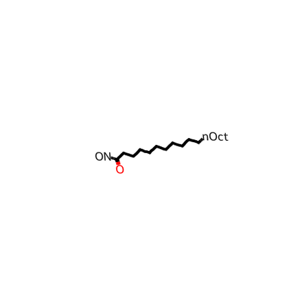 CCCCCCCCCCCCCCCCCCC(=O)N=O